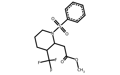 COC(=O)CC1C(C(F)(F)F)CCCN1S(=O)(=O)c1ccccc1